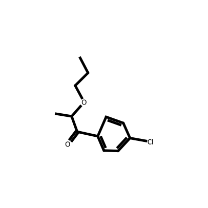 CCCOC(C)C(=O)c1ccc(Cl)cc1